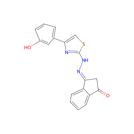 O=C1CC(=NNc2nc(-c3cccc(O)c3)cs2)c2ccccc21